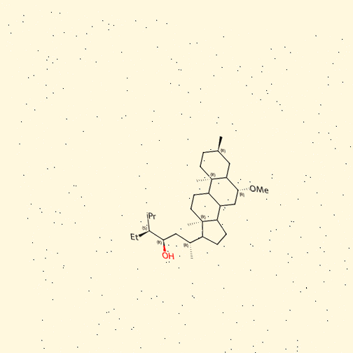 CC[C@@H](C(C)C)[C@H](O)C[C@@H](C)C1CCC2C3C[C@@H](OC)C4C[C@H](C)CC[C@]4(C)C3CC[C@@]21C